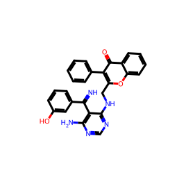 N=C(c1cccc(O)c1)c1c(N)ncnc1NCc1oc2ccccc2c(=O)c1-c1ccccc1